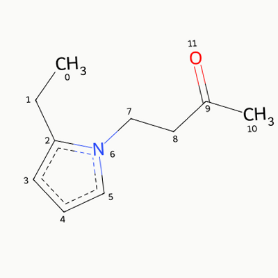 CCc1cccn1CCC(C)=O